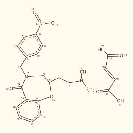 CN(C)CCC1CN(Cc2ccc([N+](=O)[O-])cc2)C(=O)c2cccnc2O1.O=C(O)C=CC(=O)O